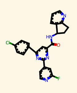 O=C(NC1CCc2ncccc21)c1cc(-c2ccc(Cl)cc2)nc(-c2ccnc(F)c2)n1